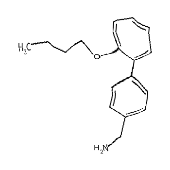 CCCCOc1ccccc1-c1ccc(CN)cc1